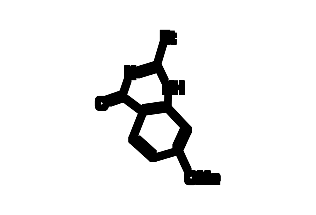 CCc1nc(=O)c2ccc(OC)cc2[nH]1